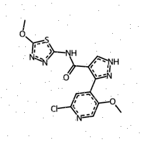 COc1nnc(NC(=O)c2c[nH]nc2-c2cc(Cl)ncc2OC)s1